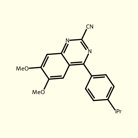 COc1cc2nc(C#N)nc(-c3ccc(C(C)C)cc3)c2cc1OC